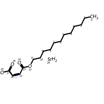 CCCCCCCCCCCCOC(=O)/C=C\C(=O)O.[SrH2]